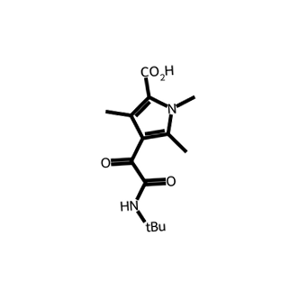 Cc1c(C(=O)C(=O)NC(C)(C)C)c(C)n(C)c1C(=O)O